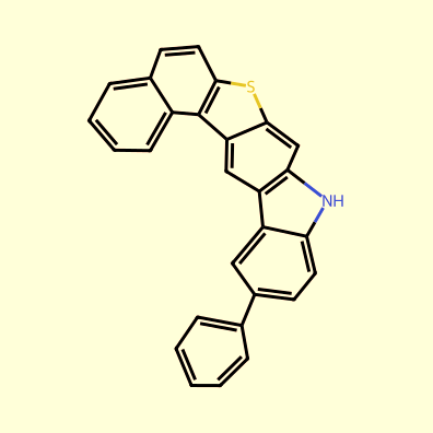 c1ccc(-c2ccc3[nH]c4cc5sc6ccc7ccccc7c6c5cc4c3c2)cc1